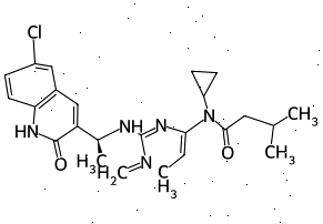 C=N/C(=N\C(=C/C)N(C(=O)CC(C)C)C1CC1)N[C@@H](C)c1cc2cc(Cl)ccc2[nH]c1=O